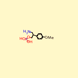 COc1ccc(C(CN)COP(O)O)cc1